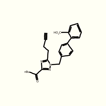 C#CCCc1nc(C(=O)CCCC)nn1Cc1ccc(-c2ccccc2C(=O)O)cc1